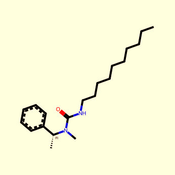 CCCCCCCCCCNC(=O)N(C)[C@H](C)c1ccccc1